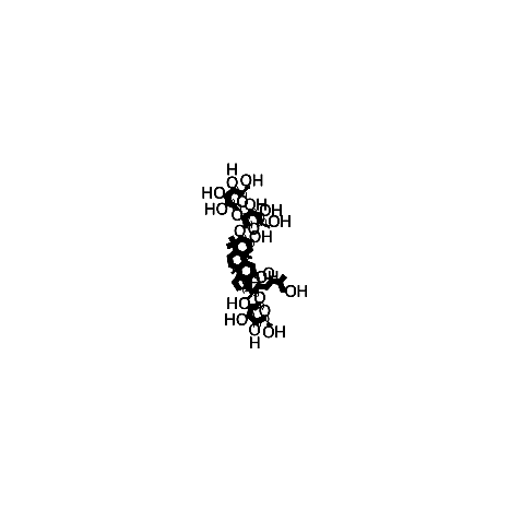 CC(CO)C(=O)CC[C@](C)(O[C@@H]1O[C@H](CO)[C@@H](O)[C@H](O)[C@H]1O)[C@H]1CC[C@]2(C)[C@@H]1[C@H](O)CC1[C@@]3(C)C[C@@H](O)[C@H](O[C@@H]4O[C@H](CO)[C@@H](O)[C@H](O)[C@H]4O[C@@H]4O[C@H](CO)[C@@H](O)[C@H](O)[C@H]4O)C(C)(C)C3CC[C@]12C